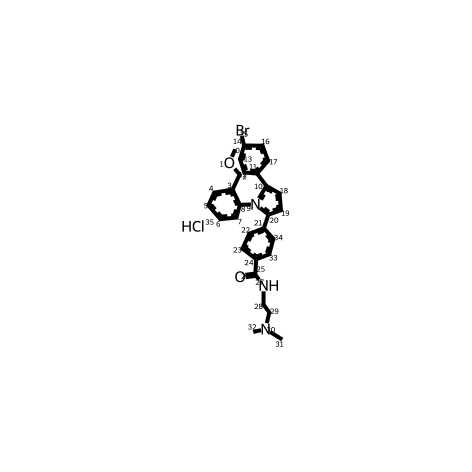 COCc1ccccc1-n1c(-c2ccc(Br)cc2)ccc1-c1ccc(C(=O)NCCN(C)C)cc1.Cl